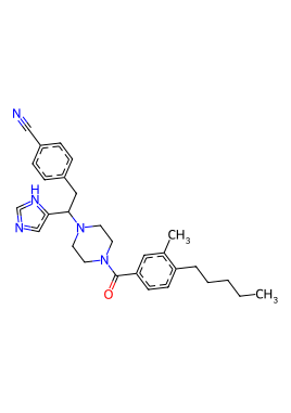 CCCCCc1ccc(C(=O)N2CCN(C(Cc3ccc(C#N)cc3)c3cnc[nH]3)CC2)cc1C